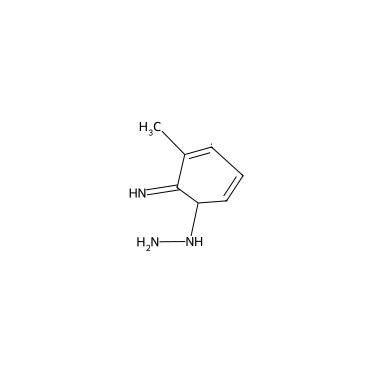 CC1=[C]C=CC(NN)C1=N